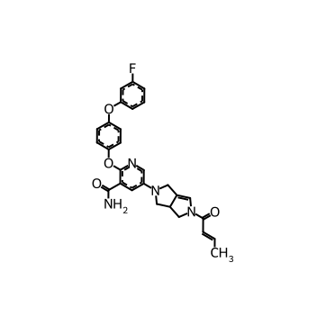 CC=CC(=O)N1C=C2CN(c3cnc(Oc4ccc(Oc5cccc(F)c5)cc4)c(C(N)=O)c3)CC2C1